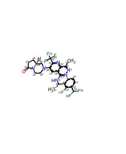 Cc1nnc(N[C@H](C)c2cccc(C(F)F)c2F)c2cc(N3CCN4C(=O)CC[C@@H]4C3)c(C(F)(F)F)nc12